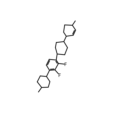 CC1C=CC(C2CCC(c3ccc(C4CCC(C)CC4)c(F)c3F)CC2)CC1